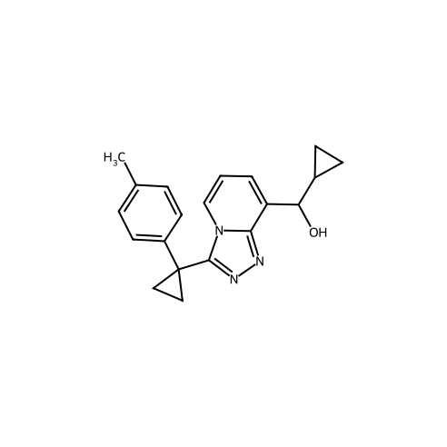 Cc1ccc(C2(c3nnc4c(C(O)C5CC5)cccn34)CC2)cc1